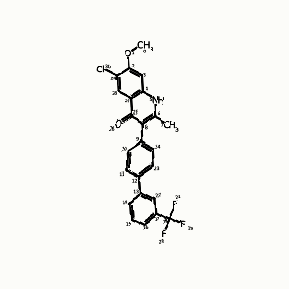 COc1cc2[nH]c(C)c(-c3ccc(-c4cccc(C(F)(F)F)c4)cc3)c(=O)c2cc1Cl